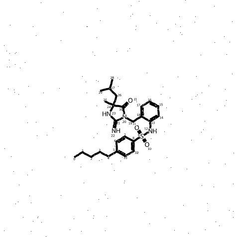 CCCCCc1ccc(S(=O)(=O)Nc2ccccc2CN2C(=N)NC(C)(CC(C)C)C2=O)cc1